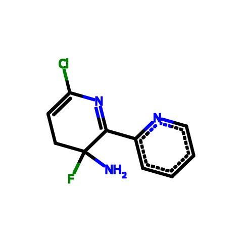 NC1(F)CC=C(Cl)N=C1c1ccccn1